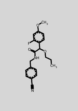 CCCOC(C(=O)NCc1ccc(C#N)cc1)c1ccc(OC)cc1F